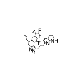 C=CCC(Cc1cc(CCCc2ccc3c(n2)NCCC3)n(C)n1)C1=CC(F)=CC(C2(C(F)F)CC2)C1